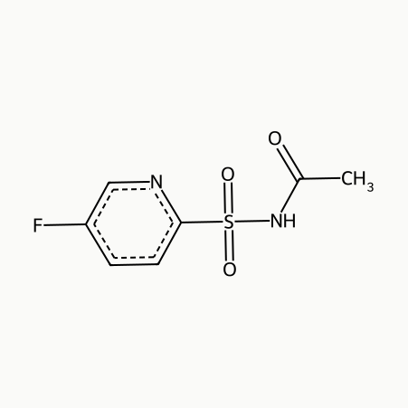 CC(=O)NS(=O)(=O)c1ccc(F)cn1